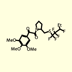 CCC(F)C(F)(F)C(F)(F)SCC1CCCN1C(=O)C(=O)c1cc(OC)c(OC)c(OC)c1